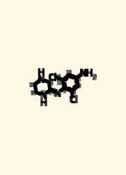 Nc1cc(Cl)c(/N=C2\CNCCN2)c(Cl)c1